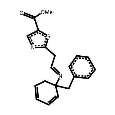 COC(=O)c1cnc(CC=NC2(Cc3ccccc3)C=CC=CC2)s1